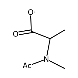 CC(=O)N(C)C(C)C([O])=O